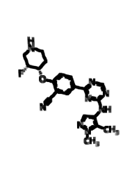 Cc1c(Nc2ncnc(-c3ccc(O[C@H]4CCNC[C@H]4F)c(C#N)c3)n2)cnn1C